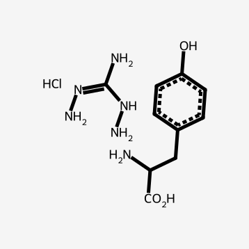 Cl.NC(Cc1ccc(O)cc1)C(=O)O.NN=C(N)NN